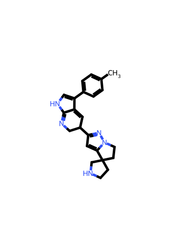 Cc1ccc(-c2c[nH]c3c2=CC(c2cc4n(n2)CCC42CCNC2)CN=3)cc1